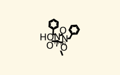 CCO[C@@H]1N(Cc2ccccc2)C(=O)N(Cc2ccccc2)[C@@]1(C)C(=O)O